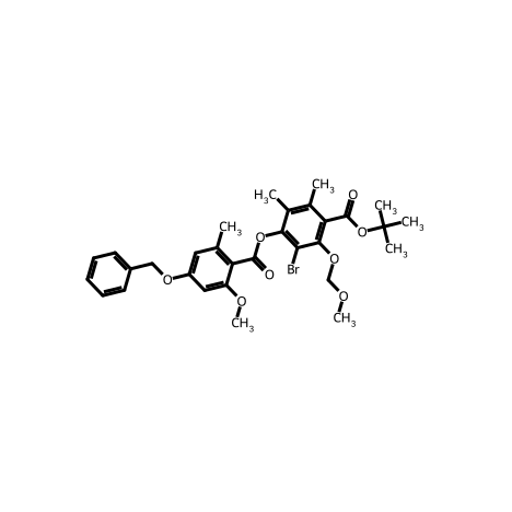 COCOc1c(Br)c(OC(=O)c2c(C)cc(OCc3ccccc3)cc2OC)c(C)c(C)c1C(=O)OC(C)(C)C